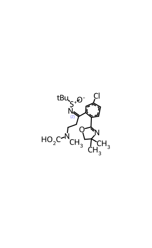 CN(CC/C(=N/[S+]([O-])C(C)(C)C)c1cc(Cl)ccc1C1=NC(C)(C)CO1)C(=O)O